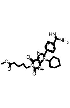 COC(=O)CCCCn1c(=O)c2nc(-c3ccc(C(=N)N)cc3)n(C3CCCCC3)c2n(C)c1=O